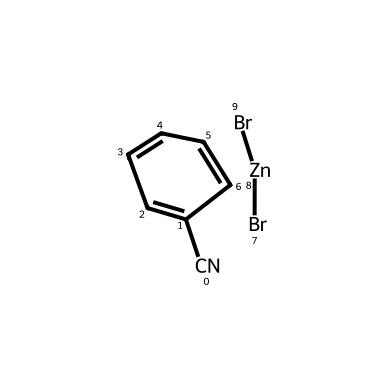 N#Cc1c[c]ccc1.[Br][Zn][Br]